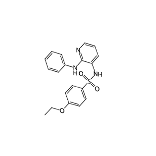 CCOc1ccc(S(=O)(=O)Nc2cccnc2Nc2ccccc2)cc1